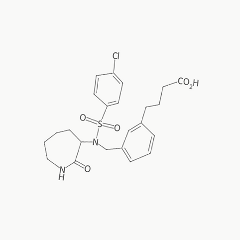 O=C(O)CCCc1cccc(CN(C2CCCCNC2=O)S(=O)(=O)c2ccc(Cl)cc2)c1